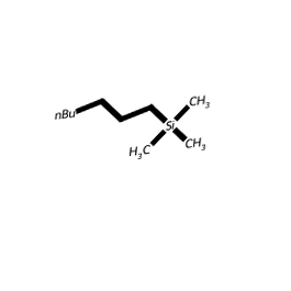 CCCCCC[CH][Si](C)(C)C